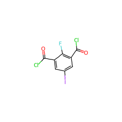 O=C(Cl)c1cc(I)cc(C(=O)Cl)c1F